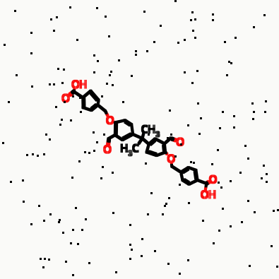 CC(C)(c1ccc(OCc2ccc(C(=O)O)cc2)c(C=O)c1)c1ccc(OCc2ccc(C(=O)O)cc2)c(C=O)c1